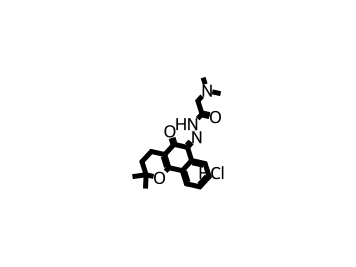 CN(C)CC(=O)NN=C1C(=O)C2=C(OC(C)(C)CC2)c2ccccc21.Cl